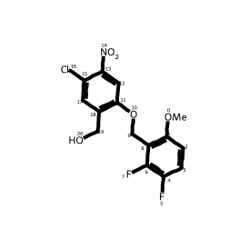 COc1ccc(F)c(F)c1COc1cc([N+](=O)[O-])c(Cl)cc1CO